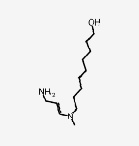 CN(C=CCN)CCCCCCCCCO